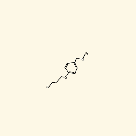 CC(C)CCCOc1ccc(COC(C)C)cc1